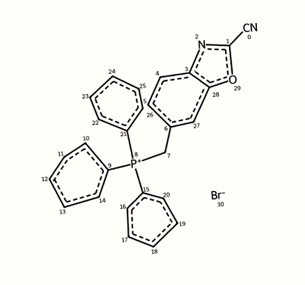 N#Cc1nc2ccc(C[P+](c3ccccc3)(c3ccccc3)c3ccccc3)cc2o1.[Br-]